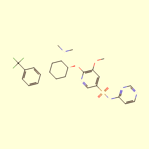 COc1cc(S(=O)(=O)Nc2ccncn2)cnc1O[C@H]1CC[C@H](c2cccc(C(F)(F)F)c2)C[C@@H]1N(C)C